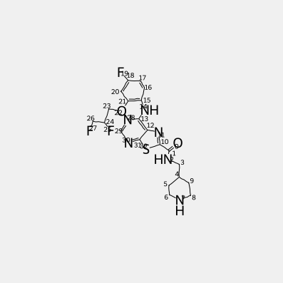 O=C(NCC1CCNCC1)c1nc2c(Nc3ccc(F)cc3OCC(F)CF)ncnc2s1